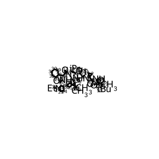 CC[C@@H]1C[C@]1(NC(=O)[C@@H]1C[C@@]2(CN1C(=O)[C@@H](NC(=O)[C@@H](NC(=O)[C@@H]1CCCN1CC)C1CCCCC1)C(C)C)C(C)(C)C21CCC1)C(=O)NS(=O)(=O)N(C)C(C)(C)C